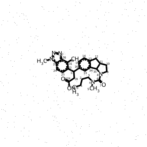 CCCCN(C)C(=O)N1CCC2Cc3ccc(C(CC(=O)O)c4ccc5c(nnn5C)c4C)cc3C21